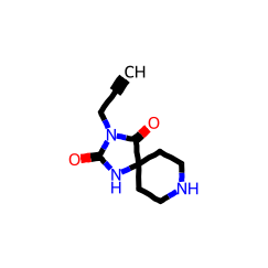 C#CCN1C(=O)NC2(CCNCC2)C1=O